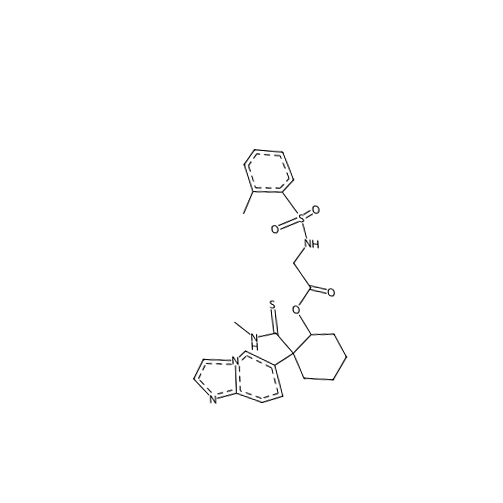 CNC(=S)C1(c2ccc3nccn3c2)CCCCC1OC(=O)CNS(=O)(=O)c1ccccc1C